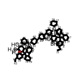 Bc1c(B)c(C2(c3ccc(C=C)cc3)c3ccccc3-c3ccc(N(c4ccccc4)c4ccc(-c5ccc(-c6ccc(N(c7ccccc7)c7ccc8c(c7)C(c7ccc(C=C)cc7)(c7c(B)c(B)c(O)c(O)c7B)c7ccccc7-8)cc6)cc5)cc4)cc32)c(B)c(B)c1O